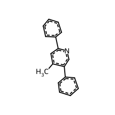 Cc1cc(-c2ccccc2)ncc1-c1ccccc1